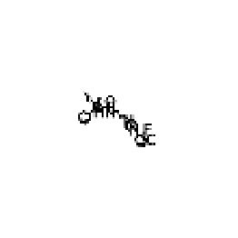 CCCN1C(c2ccccc2)=CC(C(=O)NCCCN2CCN(c3cccc(Cl)c3F)CC2)C1C